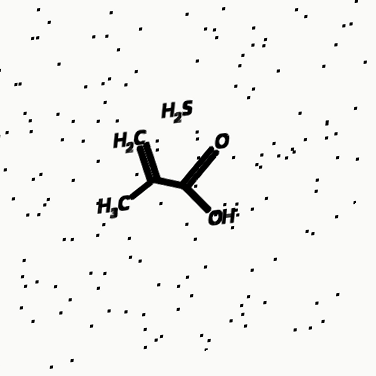 C=C(C)C(=O)O.S